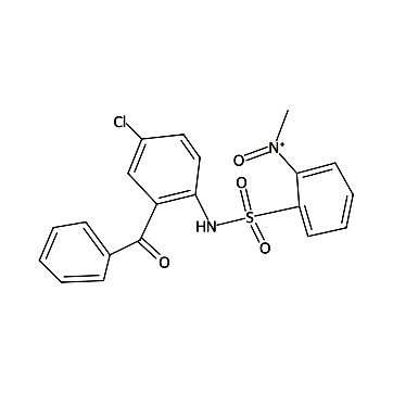 C[N+](=O)c1ccccc1S(=O)(=O)Nc1ccc(Cl)cc1C(=O)c1ccccc1